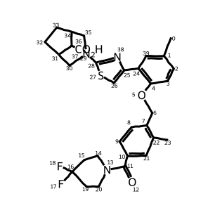 Cc1ccc(OCc2ccc(C(=O)N3CCC(F)(F)CC3)cc2C)c(-c2csc(N3CC4CCC(C3)C4C(=O)O)n2)c1